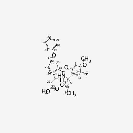 COc1ccc(C(CC(C)C)NC(=O)c2cc(COc3ccccc3)ccc2CCC(=O)O)cc1F